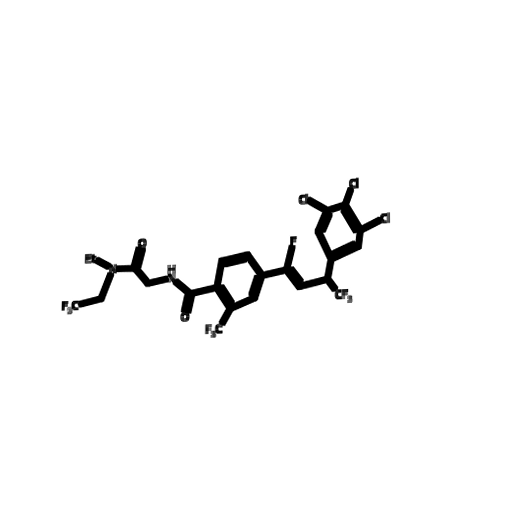 CCN(CC(F)(F)F)C(=O)CNC(=O)c1ccc(C(F)=CC(c2cc(Cl)c(Cl)c(Cl)c2)C(F)(F)F)cc1C(F)(F)F